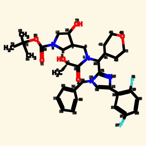 C[C@H](O)C(=O)N(CC1CN(C(=O)OC(C)(C)C)CC1O)C(c1nc(-c2cc(F)ccc2F)cn1Cc1ccccc1)C1CCOCC1